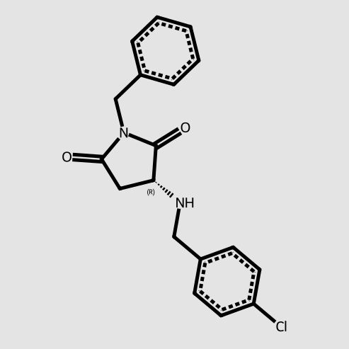 O=C1C[C@@H](NCc2ccc(Cl)cc2)C(=O)N1Cc1ccccc1